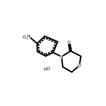 Cl.O=C1COCCN1c1ccc([N+](=O)[O-])cc1